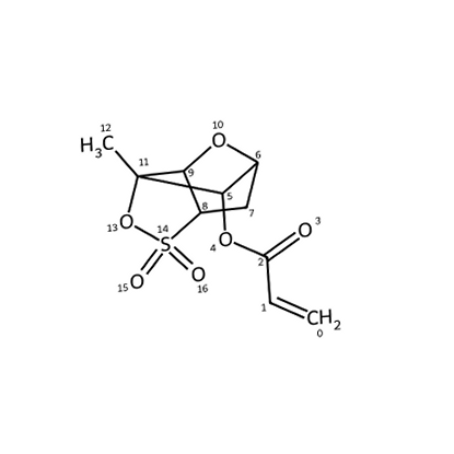 C=CC(=O)OC1C2CC3C(O2)C1(C)OS3(=O)=O